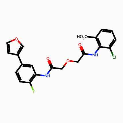 O=C(COCC(=O)Nc1c(Cl)cccc1C(=O)O)Nc1cc(-c2ccoc2)ccc1F